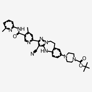 Cc1cccc(NC(=O)c2cnc(-c3nn4c(c3C#N)Nc3ccc(N5CCN(C(=O)OC(C)(C)C)CC5)cc3CC4)cc2C)n1